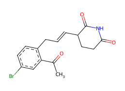 CC(=O)c1cc(Br)ccc1C/C=C/C1CCC(=O)NC1=O